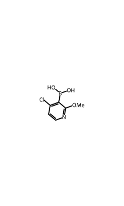 COc1nccc(Cl)c1B(O)O